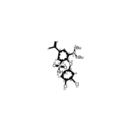 C=C(C)c1cc(N(CCCC)CCCC)c(Oc2ccc(Cl)c(Cl)c2)c(S(N)(=O)=O)c1